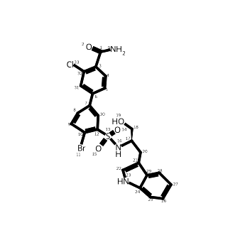 NC(=O)c1ccc(-c2ccc(Br)c(S(=O)(=O)N[C@@H](CO)Cc3c[nH]c4ccccc34)c2)cc1Cl